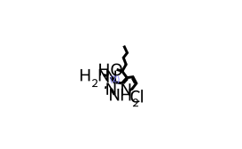 CCCCC(O)c1ccc(Cl)nc1/C(=N/N)N(C)N